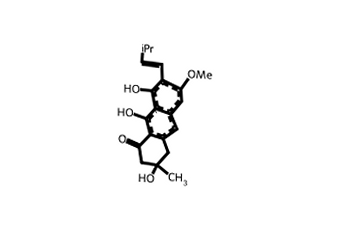 COc1cc2cc3c(c(O)c2c(O)c1/C=C/C(C)C)C(=O)CC(C)(O)C3